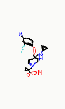 N#Cc1ccc(OCC2(CNC3CC3)CCN(CC3(C(=O)O)CC3)CC2)c(F)c1